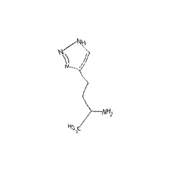 NC(CCc1c[nH]nn1)C(=O)O